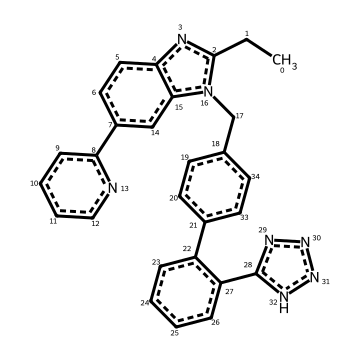 CCc1nc2ccc(-c3ccccn3)cc2n1Cc1ccc(-c2ccccc2-c2nnn[nH]2)cc1